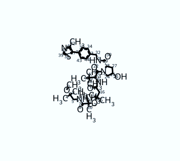 COC(C)(C)CNC(=O)C(C)(C)OC(C)(C)CC(=O)NC(C(=O)N1C[C@H](O)C[C@H]1C(=O)NCc1ccc(-c2scnc2C)cc1)C(C)(C)C